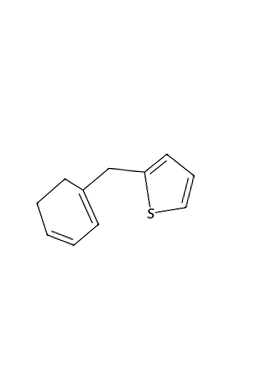 C1=CCCC(Cc2cccs2)=C1